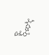 CC(C)OC(=O)Nc1cnc2nc(-c3cc(NC(=O)c4cnco4)ccc3Cl)cn2c1